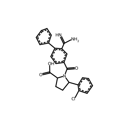 N=C(N)c1cc(C(=O)N2C(C(=O)O)CCC2c2ccccc2Cl)ccc1-c1ccccc1